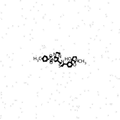 Cc1ccc(S(=O)(=O)n2cc(-c3nc(-c4cccc([C@]5(O)CCN(C)C5=O)c4)cs3)c3nccnc32)cc1